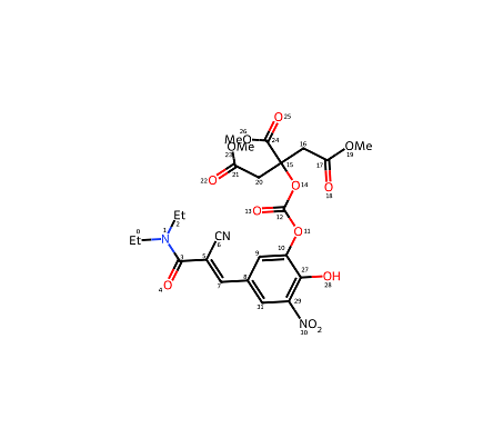 CCN(CC)C(=O)/C(C#N)=C/c1cc(OC(=O)OC(CC(=O)OC)(CC(=O)OC)C(=O)OC)c(O)c([N+](=O)[O-])c1